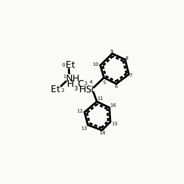 CCNCC.C[SiH](c1ccccc1)c1ccccc1